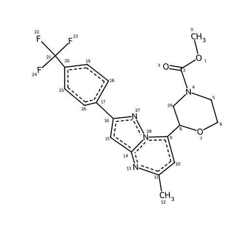 COC(=O)N1CCOC(c2cc(C)nc3cc(-c4ccc(C(F)(F)F)cc4)nn23)C1